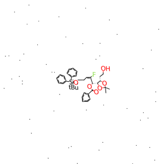 CC1(C)O[C@@H](CCO)[C@@H](C(OC(=O)c2ccccc2)/C(F)=C\CCO[Si](c2ccccc2)(c2ccccc2)C(C)(C)C)O1